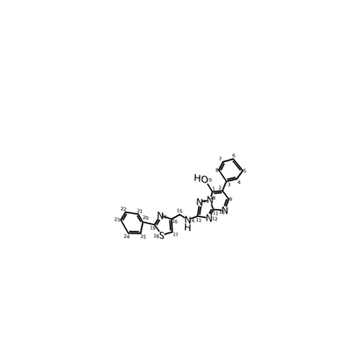 Oc1c(-c2ccccc2)cnc2nc(NCc3csc(-c4ccccc4)n3)nn12